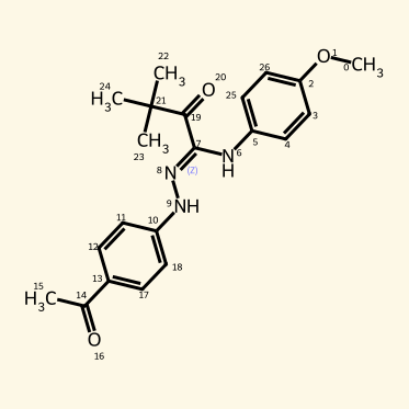 COc1ccc(N/C(=N\Nc2ccc(C(C)=O)cc2)C(=O)C(C)(C)C)cc1